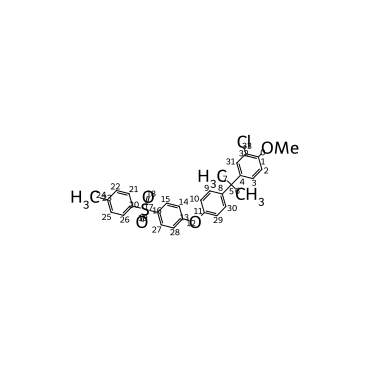 COc1ccc(C(C)(C)c2ccc(Oc3ccc(S(=O)(=O)c4ccc(C)cc4)cc3)cc2)cc1Cl